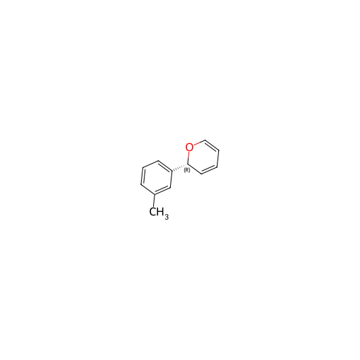 Cc1cccc([C@H]2C=CC=CO2)c1